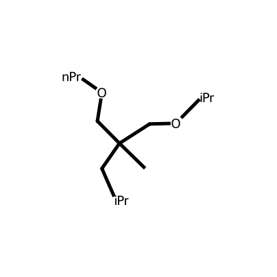 CCCOCC(C)(COC(C)C)CC(C)C